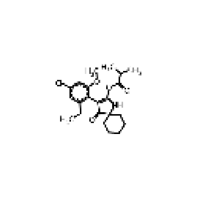 CCc1cc(Cl)cc(OC)c1C1=C(OC(=O)C(C)C)NC2(CCCCC2)C1=O